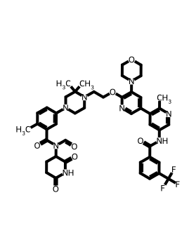 Cc1ccc(N2CCN(CCOc3ncc(-c4cc(NC(=O)c5cccc(C(F)(F)F)c5)cnc4C)cc3N3CCOCC3)C(C)(C)C2)cc1C(=O)N(C=O)C1CCC(=O)NC1=O